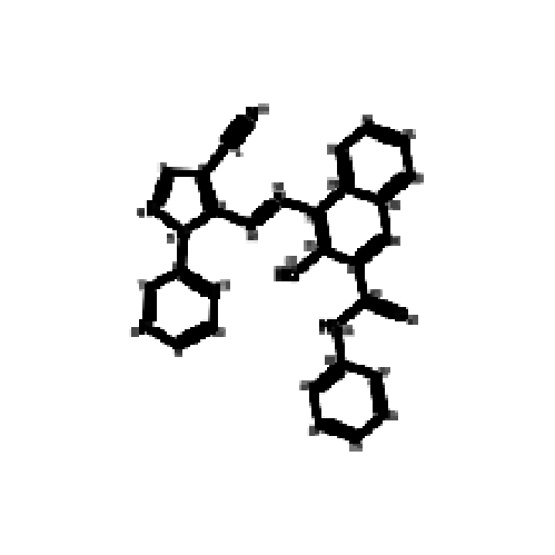 N#Cc1cnn(-c2cnccn2)c1/N=N/c1c(O)c(C(=O)Nc2ccccc2)cc2ccccc12